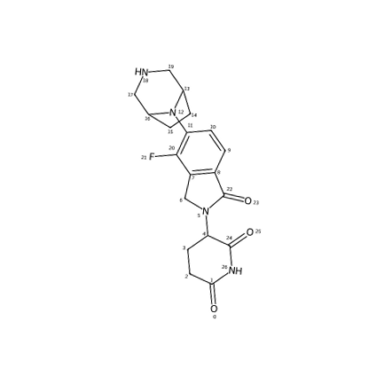 O=C1CCC(N2Cc3c(ccc(N4C5CCC4CNC5)c3F)C2=O)C(=O)N1